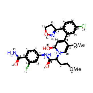 COCCC(C(=O)Nc1ccc(C(N)=O)c(F)c1)N1C=C(OC)C(c2cc(Cl)ccc2C2=NOCC2)=CC1O